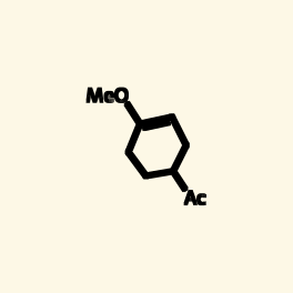 COC1=CCC(C(C)=O)CC1